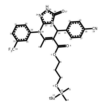 CC1=C(C(=O)OCCCO[Si](C)(C)C(C)(C)C)C(c2ccc(C#N)cc2)n2c(n[nH]c2=O)N1c1cccc(C(F)(F)F)c1